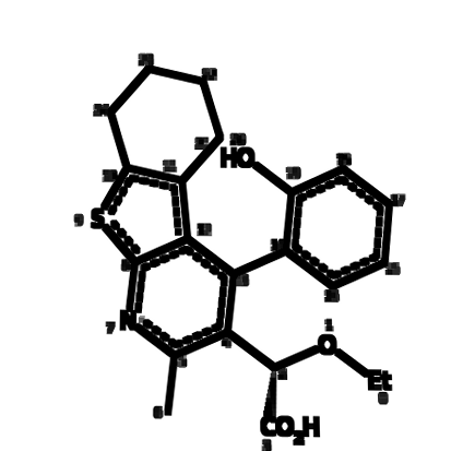 CCO[C@H](C(=O)O)c1c(C)nc2sc3c(c2c1-c1ccccc1O)CCCC3